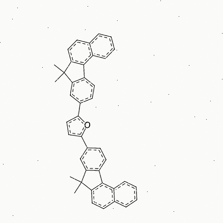 CC1(C)c2cc(-c3ccc(-c4ccc5c(c4)C(C)(C)c4ccc6ccccc6c4-5)o3)ccc2-c2c1ccc1ccccc21